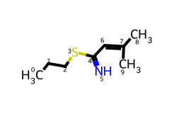 CCCSC(=N)C=C(C)C